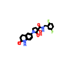 O=C1CCc2cc(N3CCC(O)(C(=O)NCc4cc(F)ccc4F)C3=O)ccc2N1